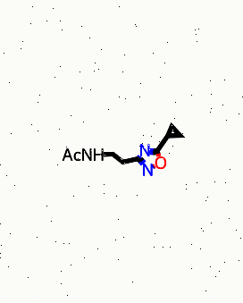 CC(=O)NCCc1noc(C2CC2)n1